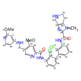 COc1cc(NCc2cnc(C(=O)Nc3cccc(-c4cccc(NC(=O)c5nc6c(n5C)CCNC6)c4Cl)c3Cl)cc2OC)ccn1